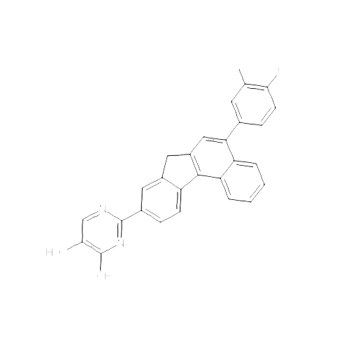 Cc1ccc(-c2cc3c(c4ccccc24)-c2ccc(-c4ncc(C)c(C)n4)cc2C3)cc1C